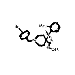 COc1ccccc1S(=O)(=O)C1(C(=O)NO)CCN(Cc2ccc(Br)cc2)CC1